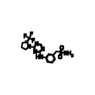 NS(=O)(=O)Cc1cccc(Nc2ncnc(N3CCC[C@H]3C(F)(F)F)n2)c1